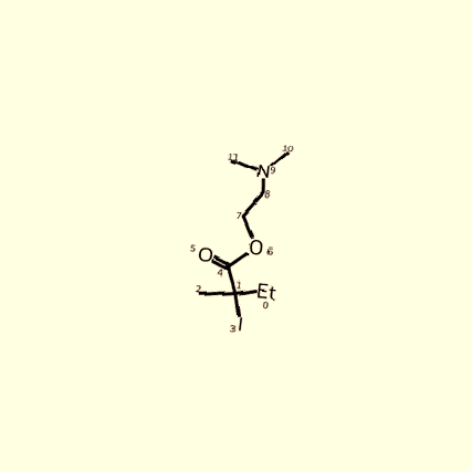 CCC(C)(I)C(=O)OCCN(C)C